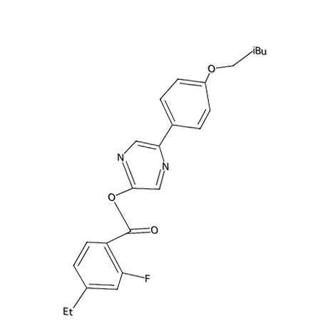 CCc1ccc(C(=O)Oc2cnc(-c3ccc(OCC(C)CC)cc3)cn2)c(F)c1